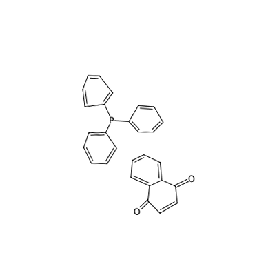 O=C1C=CC(=O)c2ccccc21.c1ccc(P(c2ccccc2)c2ccccc2)cc1